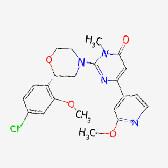 COc1cc(-c2cc(=O)n(C)c(N3CCO[C@@H](c4ccc(Cl)cc4OC)C3)n2)ccn1